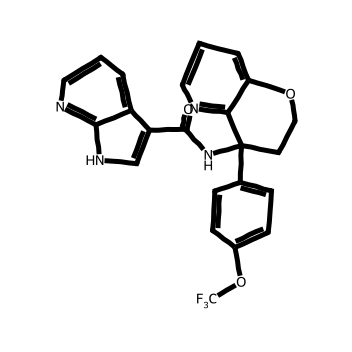 O=C(NC1(c2ccc(OC(F)(F)F)cc2)CCOc2cccnc21)c1c[nH]c2ncccc12